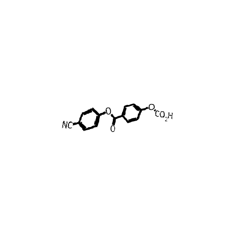 N#Cc1ccc(OC(=O)c2ccc(OC(=O)O)cc2)cc1